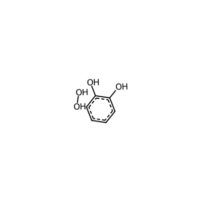 OO.Oc1ccccc1O